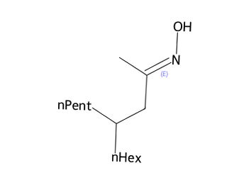 CCCCCCC(CCCCC)C/C(C)=N/O